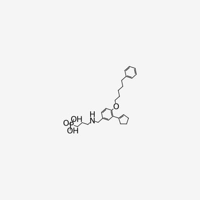 O=P(O)(O)CCCNCc1ccc(OCCCCCc2ccccc2)c(C2=CCCC2)c1